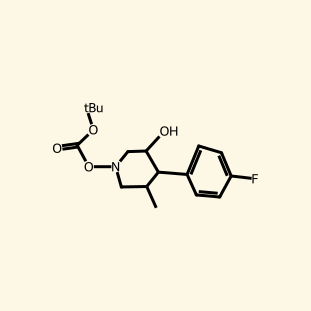 CC1CN(OC(=O)OC(C)(C)C)CC(O)C1c1ccc(F)cc1